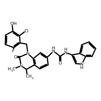 CC1c2ccc(NC(=O)Nc3c[nH]c4ccccc34)cc2N(Cc2c(F)ccc(O)c2Cl)C(=O)N1C